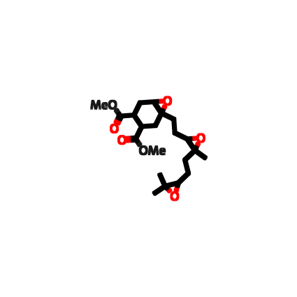 COC(=O)C1CC2OC2(CCC2OC2(C)CCC2OC2(C)C)CC1C(=O)OC